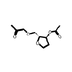 CC(=O)COC[C@H]1OCC[C@@H]1OC(C)=O